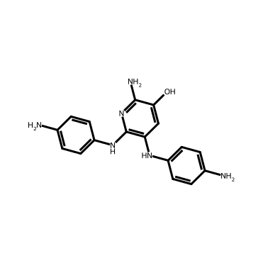 Nc1ccc(Nc2cc(O)c(N)nc2Nc2ccc(N)cc2)cc1